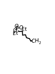 C=CCCCCCCP(=O)(OCC)OCC